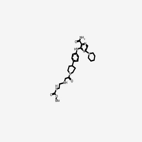 CC(C)(C)OC(=O)NCCNCC(=O)N1CCC(c2ccc(Nc3nc(N4CCCCC4)cnc3C(N)=O)cc2)CC1